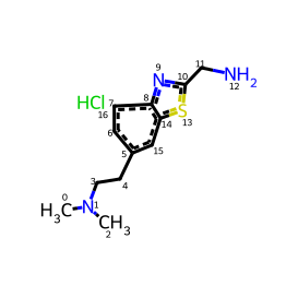 CN(C)CCc1ccc2nc(CN)sc2c1.Cl